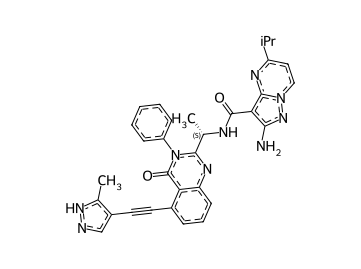 Cc1[nH]ncc1C#Cc1cccc2nc([C@H](C)NC(=O)c3c(N)nn4ccc(C(C)C)nc34)n(-c3ccccc3)c(=O)c12